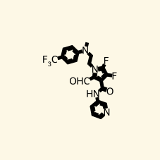 CN(CCn1c(F)c(F)c(C(=O)Nc2cccnc2)c1C=O)c1ccc(C(F)(F)F)cc1